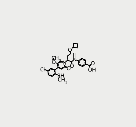 CBc1ccc(Cl)cc1-c1cc(=O)n([C@@H](CCOC2CCC2)C(=O)Nc2ccc(C(=O)O)cc2)cc1OC